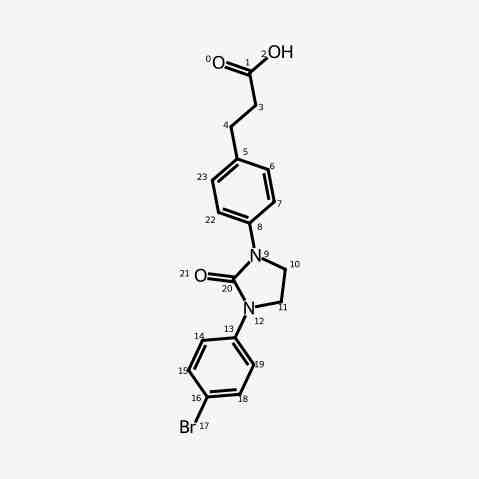 O=C(O)CCc1ccc(N2CCN(c3ccc(Br)cc3)C2=O)cc1